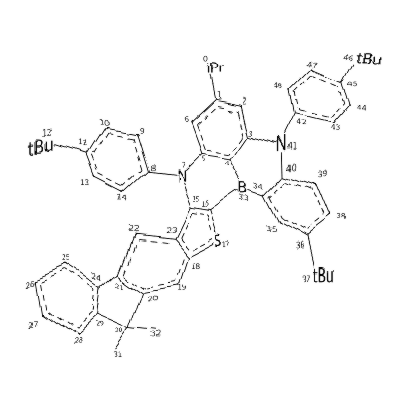 CC(C)c1cc2c3c(c1)N(c1ccc(C(C)(C)C)cc1)c1c(sc4cc5c(cc14)-c1ccccc1C5(C)C)B3c1cc(C(C)(C)C)ccc1N2c1ccc(C(C)(C)C)cc1